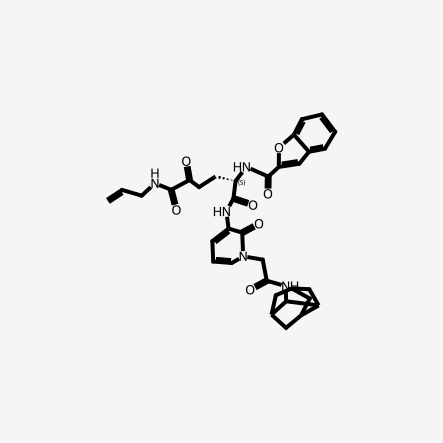 C=CCNC(=O)C(=O)CC[C@H](NC(=O)c1cc2ccccc2o1)C(=O)Nc1cccn(CC(=O)NC2C3CC4CC(C3)C2C4)c1=O